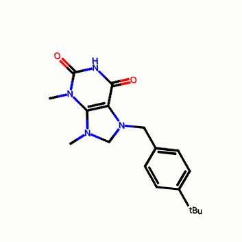 CN1CN(Cc2ccc(C(C)(C)C)cc2)c2c1n(C)c(=O)[nH]c2=O